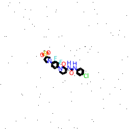 CS(=O)(=O)C1CCN(c2ccc(N3CCC[C@@H](NC(=O)Nc4ccc(Cl)cc4)C3=O)c(F)c2F)C1